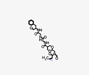 C/C=C\C(=O)N(C=O)CC1OCC(C(=O)NCC(=O)NCC(=O)NC(C=O)Cc2ccccc2)CO1